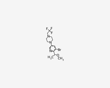 CO[C@@H](C)c1ncc(N2CCN(CC(F)(F)F)CC2)cc1Br